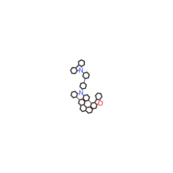 c1cc(-c2ccc(N(c3ccc(-c4cccc5oc6ccccc6c45)cc3)c3ccccc3-c3ccc4c(ccc5ccccc54)c3)cc2)cc(-n2c3ccccc3c3ccccc32)c1